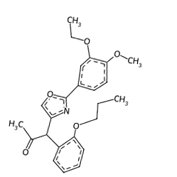 CCCOc1ccccc1C(C(C)=O)c1coc(-c2ccc(OC)c(OCC)c2)n1